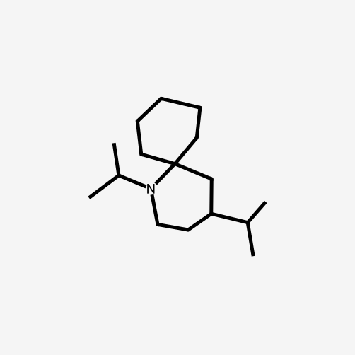 CC(C)C1CCN(C(C)C)C2(CCCCC2)C1